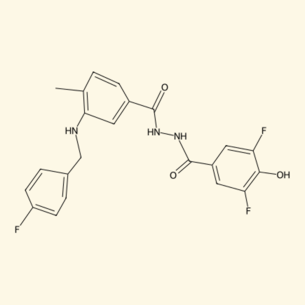 Cc1ccc(C(=O)NNC(=O)c2cc(F)c(O)c(F)c2)cc1NCc1ccc(F)cc1